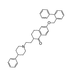 O=C1c2ccc(OCc3ccccc3-c3ccccc3)cc2CCC1CCN1CCC(c2ccccc2)CC1